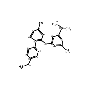 Cc1nc(Oc2cc(C#N)ccc2-c2ncc(CN)cn2)cc(N(C)C)n1